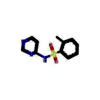 Cc1ccccc1S(=O)(=O)Nc1ccncn1